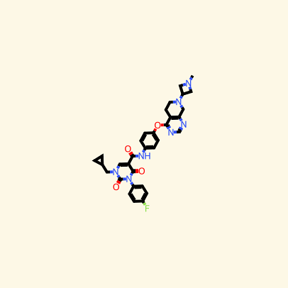 CN1CC(N2CCc3c(ncnc3Oc3ccc(NC(=O)c4cn(CC5CC5)c(=O)n(-c5ccc(F)cc5)c4=O)cc3)C2)C1